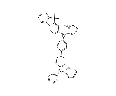 CN1CC=CC=C1N(C1=CCC2C(=C1)C(C)(C)c1ccccc12)c1ccc(C2C=Cc3c(c4ccccc4n3-c3ccccc3)C2)cc1